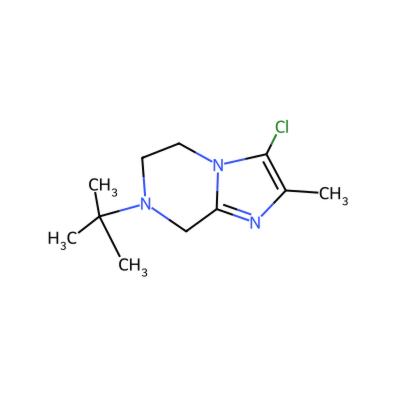 Cc1nc2n(c1Cl)CCN(C(C)(C)C)C2